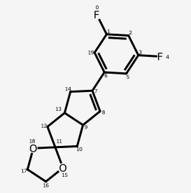 Fc1cc(F)cc(C2=CC3CC4(CC3C2)OCCO4)c1